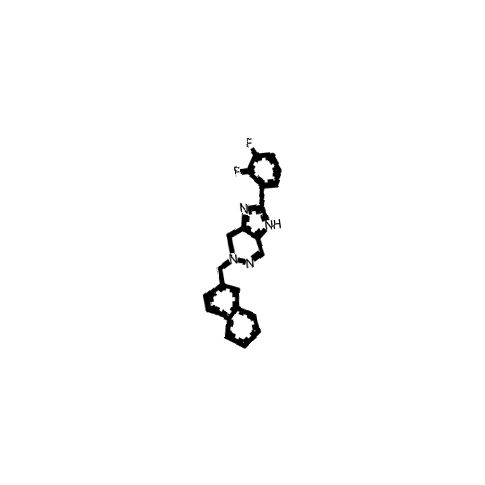 Fc1cccc(-c2nc3c([nH]2)C=NN(Cc2ccc4ccccc4c2)C3)c1F